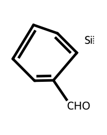 O=Cc1ccccc1.[Si]